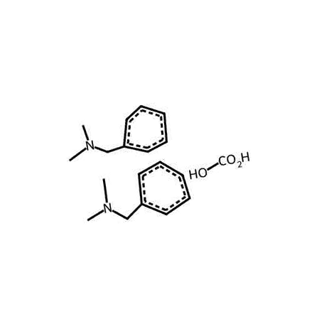 CN(C)Cc1ccccc1.CN(C)Cc1ccccc1.O=C(O)O